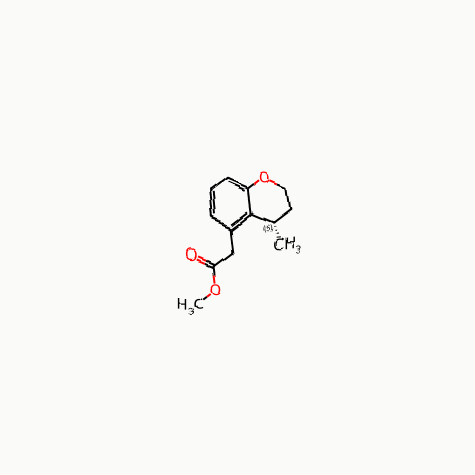 COC(=O)Cc1cccc2c1[C@@H](C)CCO2